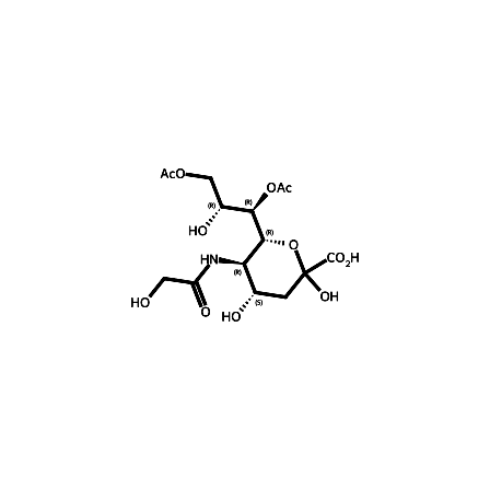 CC(=O)OC[C@@H](O)[C@@H](OC(C)=O)[C@@H]1OC(O)(C(=O)O)C[C@H](O)[C@H]1NC(=O)CO